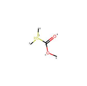 [CH2][SH](C)C(=O)OC